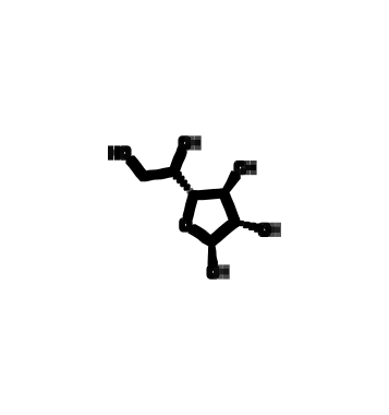 OCC(O)[C@H]1O[C@H](O)[C@@H](O)[C@@H]1O